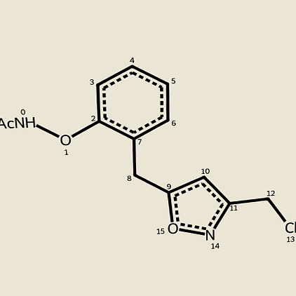 CC(=O)NOc1ccccc1Cc1cc(CCl)no1